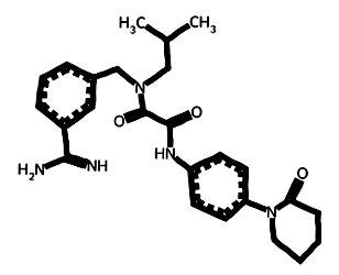 CC(C)CN(Cc1cccc(C(=N)N)c1)C(=O)C(=O)Nc1ccc(N2CCCCC2=O)cc1